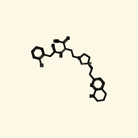 O=C(Cc1ccccc1Cl)NC(CCN1CC[C@@H](CCc2ccc3c(n2)NCCC3)C1)C(=O)O